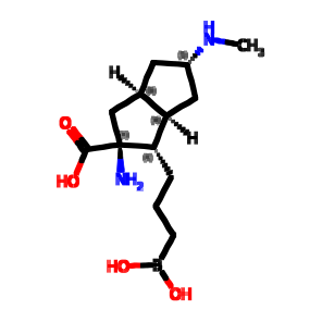 CN[C@H]1C[C@@H]2C[C@@](N)(C(=O)O)[C@@H](CCCB(O)O)[C@@H]2C1